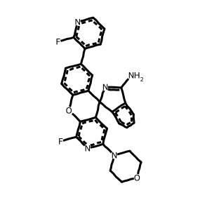 NC1=NC2(c3cc(-c4cccnc4F)ccc3Oc3c2cc(N2CCOCC2)nc3F)c2ccccc21